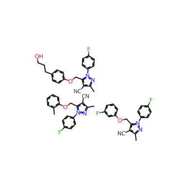 Cc1ccccc1OCc1c(C#N)c(C)nn1-c1ccc(F)cc1.Cc1nn(-c2ccc(F)cc2)c(COc2ccc(CCCO)cc2)c1C#N.Cc1nn(-c2ccc(F)cc2)c(COc2cccc(F)c2)c1C#N